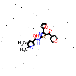 Cc1cc(C(O)Nc2nc(-c3ccco3)c(C(=O)C3CCOCC3)s2)cnc1C